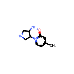 Cc1ccn(C2CNCC2N)c(=O)c1